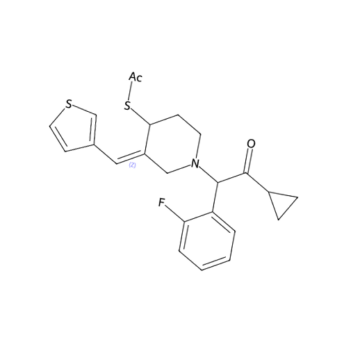 CC(=O)SC1CCN(C(C(=O)C2CC2)c2ccccc2F)C/C1=C/c1ccsc1